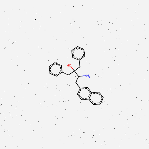 NC(Cc1ccc2ccccc2c1)C(O)(Cc1ccccc1)Cc1ccccc1